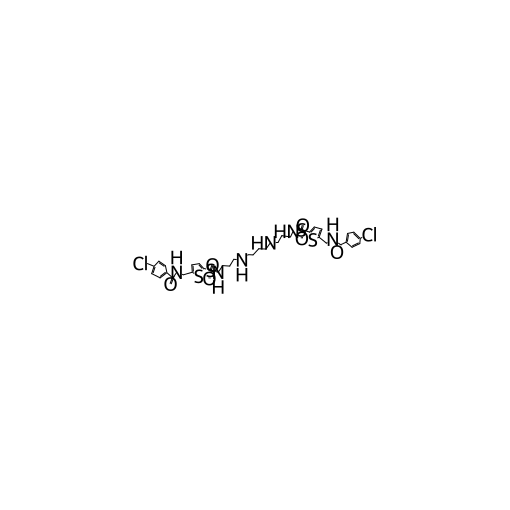 O=C(NCc1ccc(S(=O)(=O)NCCCNCCCCNCCCNS(=O)(=O)c2ccc(CNC(=O)c3ccc(Cl)cc3)s2)s1)c1ccc(Cl)cc1